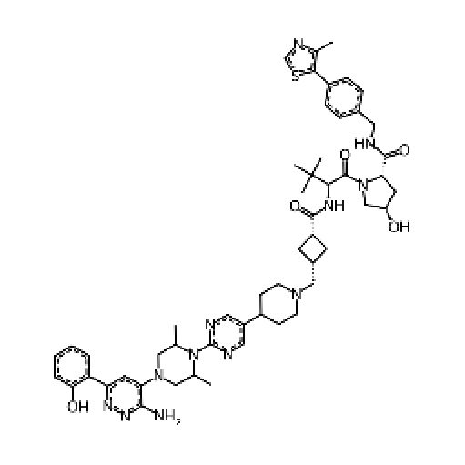 Cc1ncsc1-c1ccc(CNC(=O)[C@@H]2C[C@@H](O)CN2C(=O)[C@@H](NC(=O)[C@H]2C[C@@H](CN3CCC(c4cnc(N5C(C)CN(c6cc(-c7ccccc7O)nnc6N)CC5C)nc4)CC3)C2)C(C)(C)C)cc1